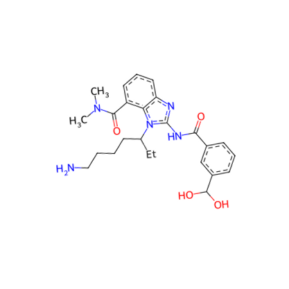 CCC(CCCCN)n1c(NC(=O)c2cccc(C(O)O)c2)nc2cccc(C(=O)N(C)C)c21